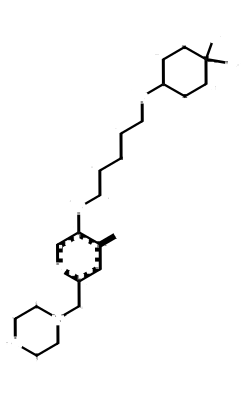 O=c1cc(CN2CCOCC2)occ1OCCCCCSC1CCC(F)(F)CC1